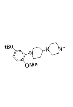 COc1ccc(C(C)(C)C)cc1N1CCC(N2CCN(C)CC2)CC1